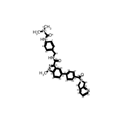 CN(C)C(=O)Nc1ccc(CNC(=O)c2nn(C)c3ccc(-c4ccc(C(=O)N5Cc6cccnc6C5)cc4)cc23)cc1